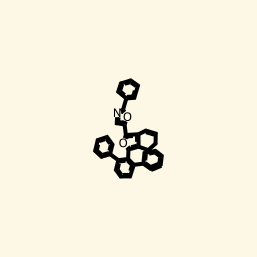 c1cccc(-c2cccc(-c3ccccc3)c2-c2oc(-c3cnc(-c4ccccc4)o3)c3c2CCC=C3)c#1